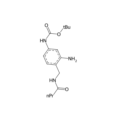 CCCC(=O)NCc1ccc(NC(=O)OC(C)(C)C)cc1N